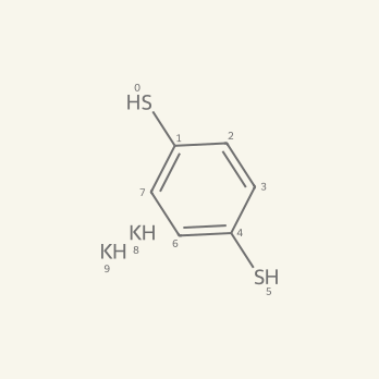 Sc1ccc(S)cc1.[KH].[KH]